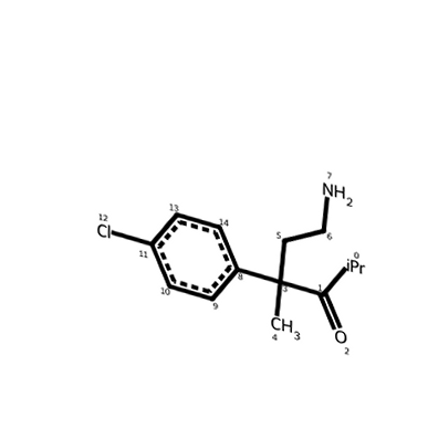 CC(C)C(=O)C(C)(CCN)c1ccc(Cl)cc1